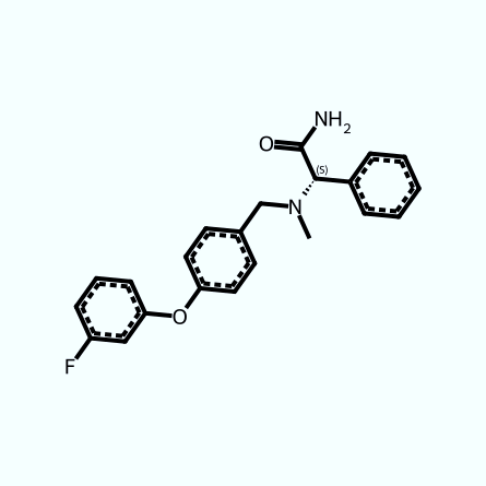 CN(Cc1ccc(Oc2cccc(F)c2)cc1)[C@H](C(N)=O)c1ccccc1